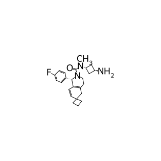 CN(C(=O)N1CCC2=C(C=CC3(CCC3)C2)[C@@H]1c1ccc(F)cc1)[C@H]1C[C@H](N)C1